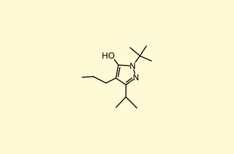 CCCc1c(C(C)C)nn(C(C)(C)C)c1O